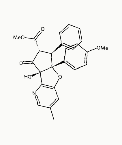 COC(=O)[C@H]1C(=O)[C@@]2(O)c3ncc(C)cc3O[C@@]2(c2ccc(OC)cc2)[C@@H]1c1ccccc1